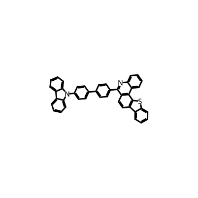 c1ccc2c(c1)nc(-c1ccc(-c3ccc(-n4c5ccccc5c5ccccc54)cc3)cc1)c1ccc3c4ccccc4sc3c12